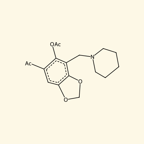 CC(=O)Oc1c(C(C)=O)cc2c(c1CN1CCCCC1)OCO2